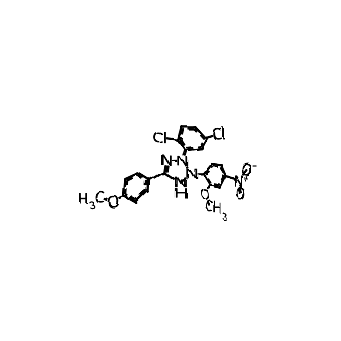 COc1ccc(C2=NN(c3cc(Cl)ccc3Cl)N(c3ccc([N+](=O)[O-])cc3OC)N2)cc1